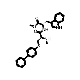 CN[C@@H](CSc1ccc(-c2ccccc2)cc1)C(=O)N[C@@H](Cc1c[nH]c2ccccc12)C(=O)OC